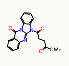 COC(=O)CCC(=O)n1c2ccccc2n2c(=O)c3ccccc3nc12